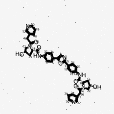 O=C(Nc1ccc(-c2cnc(-c3ccc(NC(=O)[C@@H]4C[C@@H](O)CN4C(=O)Cc4cccnc4)cc3)o2)cc1)[C@@H]1C[C@@H](O)CN1C(=O)Cc1cccnc1